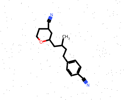 CC(CCc1ccc(C#N)cc1)CC1CC(C#N)CCO1